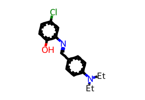 CCN(CC)c1ccc(C=Nc2cc(Cl)ccc2O)cc1